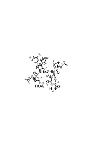 Cc1cc(C(=O)Nc2nc3cc(C(N)=O)cc(OCCCO)c3n2C/C=C/Cn2c(NC(=O)c3cc(C)nn3CC3CC3)nc3cc(C(N)=O)c4oc(C)cc4c32)n(CC2CC2)n1